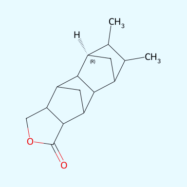 CC1C2C[C@H](C1C)C1C3CC(C4C(=O)OCC34)C21